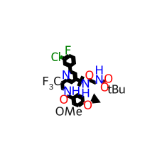 COc1cc(C(=O)NCC(c2cc(C(C)(C)NC(=O)CNC(=O)OC(C)(C)C)cc(-c3ccc(F)c(Cl)c3)n2)C(F)(F)F)ccc1OC1CC1